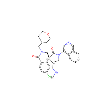 CCNC[C@H]1CN(c2cncc3ccccc23)C(=O)[C@]12CN(CC1CCOCC1)C(=O)c1ccc(Cl)cc12